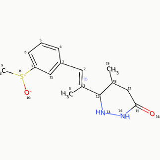 C/C(=C\c1cccc([S+](C)[O-])c1)C1NNC(=O)CC1C